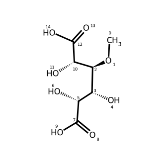 CO[C@@H]([C@H](O)[C@@H](O)C(=O)O)[C@H](O)C(=O)O